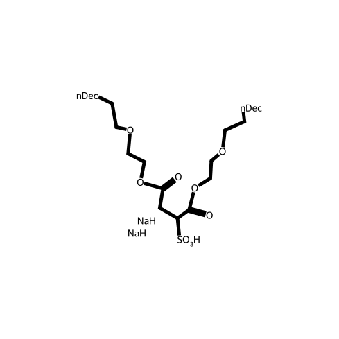 CCCCCCCCCCCCOCCOC(=O)CC(C(=O)OCCOCCCCCCCCCCCC)S(=O)(=O)O.[NaH].[NaH]